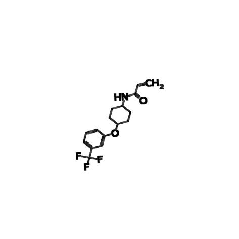 C=CC(=O)NC1CCC(Oc2cccc(C(F)(F)F)c2)CC1